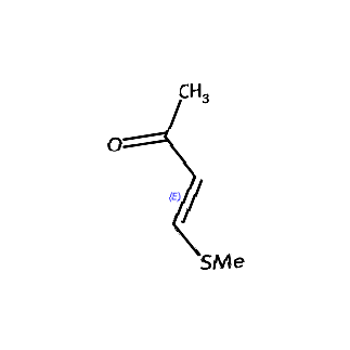 CS/C=C/C(C)=O